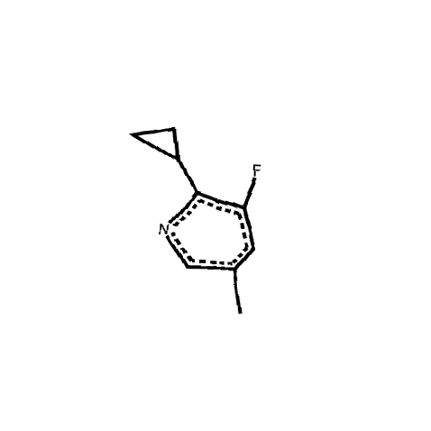 Cc1cnc(C2CC2)c(F)c1